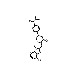 CN(C)C(=O)c1ccc(C2CCN(Cc3cc4c(Br)ccnc4n3C)C(=O)C2)cc1